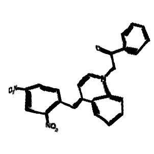 O=C(CN1C=CC(=Cc2ccc([N+](=O)[O-])cc2[N+](=O)[O-])c2ccccc21)c1ccccc1